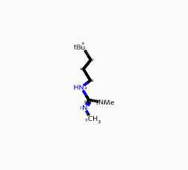 C/N=C(\NC)NCCCC(C)(C)C